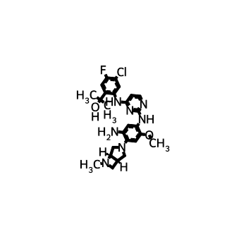 COc1cc(N2C[C@@H]3CN(C)[C@@H]3C2)c(N)cc1Nc1nccc(Nc2cc(Cl)c(F)cc2C(C)(C)O)n1